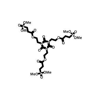 COP(=O)(CCC(=O)OCCn1c(=O)n(CCOC(=O)CCP(=O)(OC)OC)c(=O)n(CCOC(=O)CCP(=O)(OC)OC)c1=O)OC